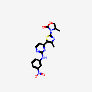 Cc1nc(N2C(=O)OCC2C)sc1-c1ccnc(Nc2cccc([N+](=O)[O-])c2)n1